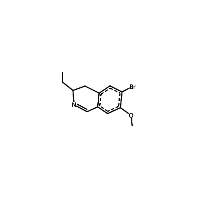 CCC1Cc2cc(Br)c(OC)cc2C=N1